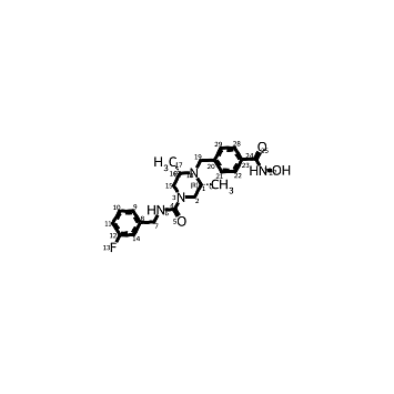 C[C@@H]1CN(C(=O)NCc2cccc(F)c2)C[C@H](C)N1Cc1ccc(C(=O)NO)cc1